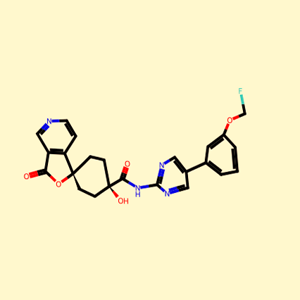 O=C1O[C@]2(CC[C@@](O)(C(=O)Nc3ncc(-c4cccc(OCF)c4)cn3)CC2)c2ccncc21